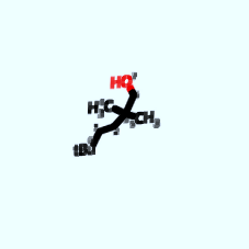 CC(C)(C)CCC(C)(C)CO